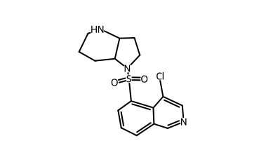 O=S(=O)(c1cccc2cncc(Cl)c12)N1CCC2NCCCC21